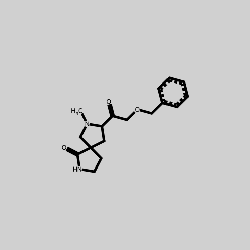 CN1CC2(CCNC2=O)CC1C(=O)COCc1ccccc1